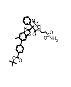 Cc1cc2nc(C(C(=O)NCCS(N)(=O)=O)(c3ccccc3)S(C)(=O)=O)sc2cc1-c1ccc(C(=O)OC(C)(C)C)cc1